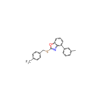 Cc1cccc(-c2cccc3oc(SCc4ccc(C(F)(F)F)cc4)nc23)c1